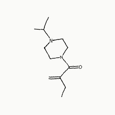 C=C(CC)C(=O)N1CCN(C(C)C)CC1